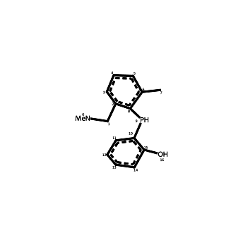 CNCc1cccc(C)c1Pc1ccccc1O